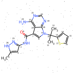 Cc1cc(NC(=O)c2cn(C(C)(C)c3cccs3)c3ncnc(N)c23)n[nH]1